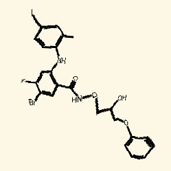 Cc1cc(I)ccc1Nc1cc(F)c(Br)cc1C(=O)NOCC(O)COc1ccccc1